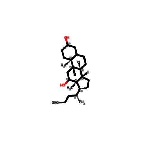 C[C@H](CCC=O)[C@H]1CC[C@H]2[C@@H]3CCC4C[C@H](O)CC[C@]4(C)[C@H]3C[C@H](O)[C@]12C